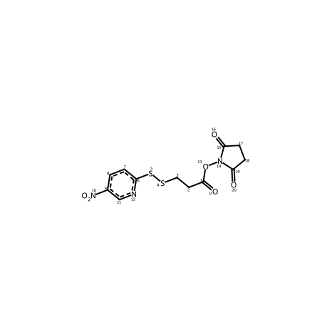 O=C(CCSSc1ccc([N+](=O)[O-])cn1)ON1C(=O)CCC1=O